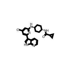 O=C(N[C@H]1CC[C@H](Nc2cc(Cl)cc(-c3c[nH]c4ncccc34)n2)CC1)C1CC1